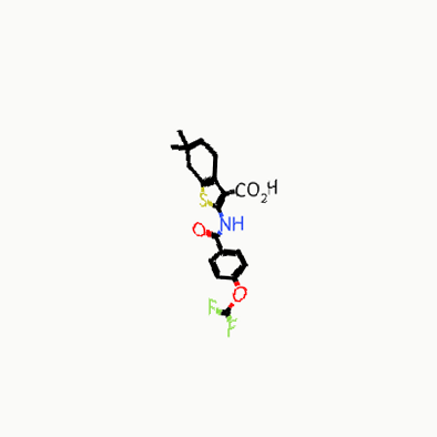 CC1(C)CCc2c(sc(NC(=O)c3ccc(OC(F)F)cc3)c2C(=O)O)C1